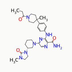 CCC(=O)N1CCC(C)(c2ccc(Nc3nc(N4CCC[C@@H](N5CCN(C)C5=O)C4)cnc3C(N)=O)cc2)CC1